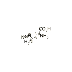 [N-]=[N+]=NC(N)CC[C@H](N)C(=O)O